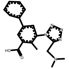 Cc1c(C(=O)O)cc(-c2ccccc2)cc1-n1nnnc1CN(C)C